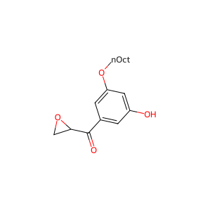 CCCCCCCCOc1cc(O)cc(C(=O)C2CO2)c1